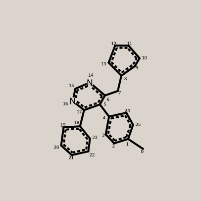 Cc1ccc(-c2c(Cc3ccccc3)ncnc2-c2ccccc2)cc1